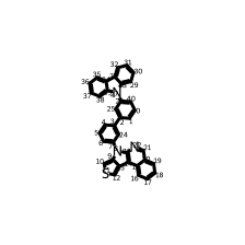 c1cc(-c2cccc(-n3c4cscc4c4c5ccccc5cnc43)c2)cc(-n2c3ccccc3c3ccccc32)c1